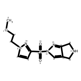 COCCn1ccc(S(=O)(=O)n2cc3c(n2)CNC3)n1